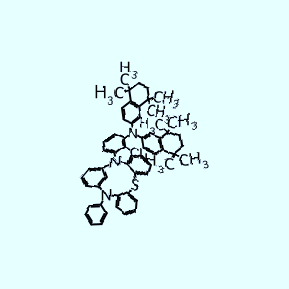 CC1(C)CCC(C)(C)c2cc(N(c3ccc4c(c3)C(C)(C)CCC4(C)C)c3cccc(N4c5cccc(c5)N(c5ccccc5)c5ccccc5Sc5ccccc54)c3Cl)ccc21